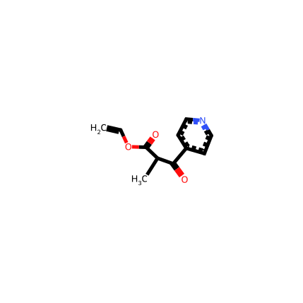 C=COC(=O)C(C)C(=O)c1ccncc1